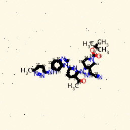 CC(=O)c1ccc(-n2cnc3ccc(Nc4ccc(C)nn4)cc32)nc1-n1nc(C#N)c2c1CCN(C(=O)OC(C)(C)C)C2